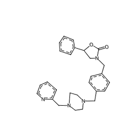 O=C1OC(c2ccccc2)CN1Cc1ccc(CN2CCN(Cc3ccccn3)CC2)cc1